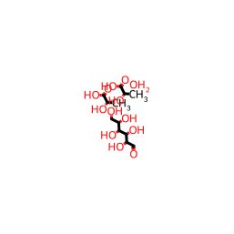 CC(O)C(=O)O.CC(O)C(=O)O.O.O=CC(O)C(O)C(O)C(O)CO